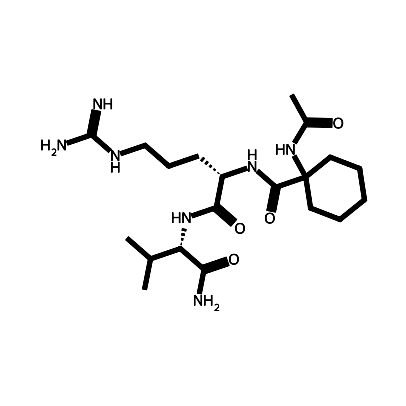 CC(=O)NC1(C(=O)N[C@@H](CCCNC(=N)N)C(=O)N[C@H](C(N)=O)C(C)C)CCCCC1